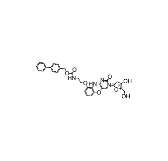 O=C(NCCOc1cccc2c1Nc1nc(=O)n([C@H]3C[C@@H](O)[C@@H](CO)O3)cc1O2)OCc1ccc(-c2ccccc2)cc1